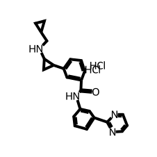 Cl.Cl.O=C(Nc1cccc(-c2ncccn2)c1)c1cccc(C2CC2NCC2CC2)c1